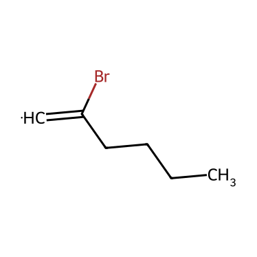 [CH]=C(Br)CCCC